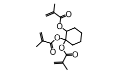 C=C(C)C(=O)OC1CCCCC1(OC(=O)C(=C)C)OC(=O)C(=C)C